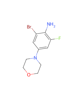 Nc1c(F)cc(N2CCOCC2)cc1Br